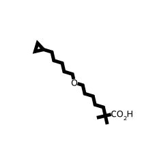 CC(C)(CCCCCOCCCCCC1CC1)C(=O)O